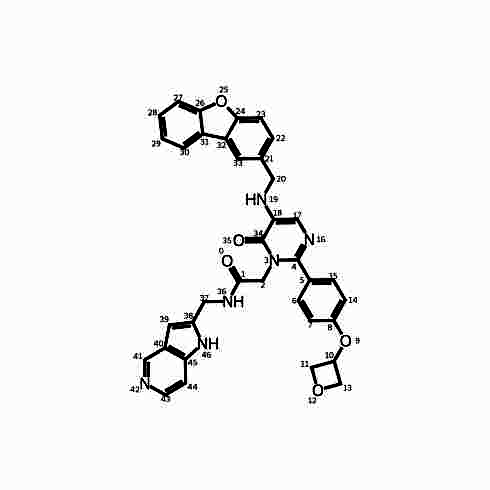 O=C(Cn1c(-c2ccc(OC3COC3)cc2)ncc(NCc2ccc3oc4ccccc4c3c2)c1=O)NCc1cc2cnccc2[nH]1